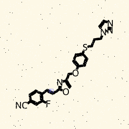 N#Cc1ccc(/C=C/c2nc(COc3ccc(SCCCn4ccnn4)cc3)co2)c(F)c1